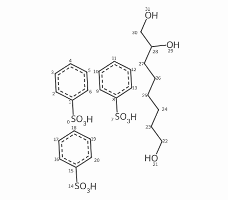 O=S(=O)(O)c1ccccc1.O=S(=O)(O)c1ccccc1.O=S(=O)(O)c1ccccc1.OCCCCCCC(O)CO